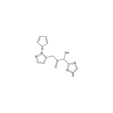 O=C(Cc1ccnn1[SH]1C=CC=C1)C(O)c1nc[nH]n1